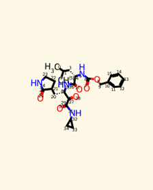 CC(C)C[C@H](NC(=O)OCc1ccccc1)C(=O)N[C@@H](CC1CCNC1=O)C(=O)C(=O)NC1CC1